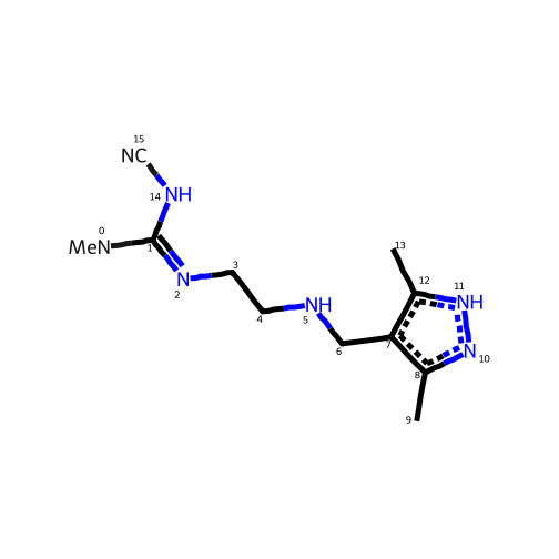 CN/C(=N/CCNCc1c(C)n[nH]c1C)NC#N